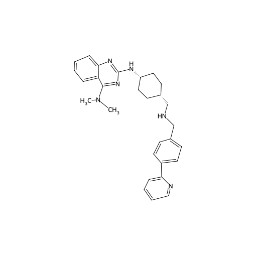 CN(C)c1nc(N[C@H]2CC[C@@H](CNCc3ccc(-c4ccccn4)cc3)CC2)nc2ccccc12